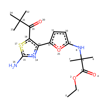 CCOC(=O)C(C)(C)Nc1ccc(-c2nc(N)sc2C(=O)C(C)(C)C)o1